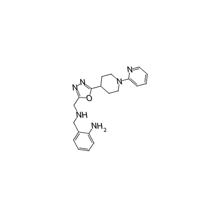 Nc1ccccc1CNCc1nnc(C2CCN(c3ccccn3)CC2)o1